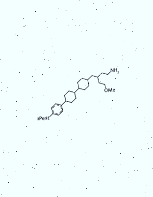 CCCCCc1ccc(C2CCC(C3CCC(CC(CCN)CCOC)CC3)CC2)cc1